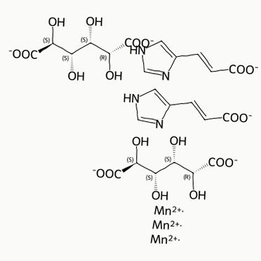 O=C([O-])C=Cc1c[nH]cn1.O=C([O-])C=Cc1c[nH]cn1.O=C([O-])[C@@H](O)[C@@H](O)[C@H](O)[C@@H](O)C(=O)[O-].O=C([O-])[C@@H](O)[C@@H](O)[C@H](O)[C@@H](O)C(=O)[O-].[Mn+2].[Mn+2].[Mn+2]